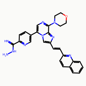 N=C(NN)c1ccc(-c2cnc(N3CCOCC3)c3nc(/C=C/c4ccc5ccccc5n4)cn23)cn1